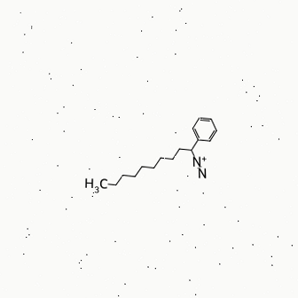 CCCCCCCCCC([N+]#N)c1ccccc1